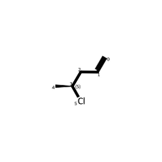 C=CC[C@H](C)Cl